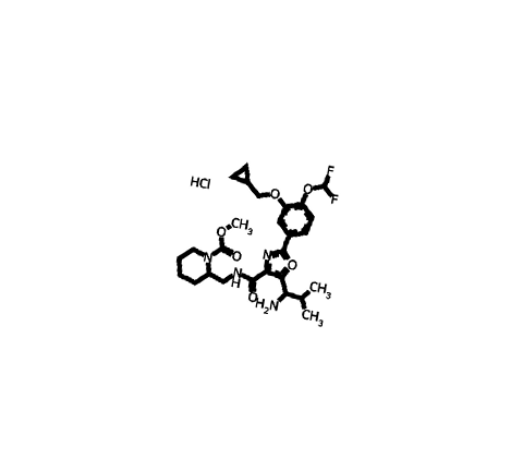 COC(=O)N1CCCCC1CNC(=O)c1nc(-c2ccc(OC(F)F)c(OCC3CC3)c2)oc1C(N)C(C)C.Cl